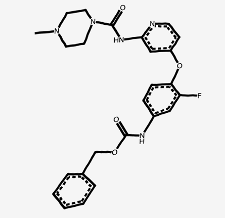 CN1CCN(C(=O)Nc2cc(Oc3ccc(NC(=O)OCc4ccccc4)cc3F)ccn2)CC1